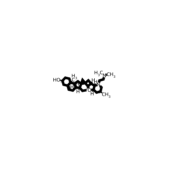 C[C@H]1C[C@H]2O[C@@]34CC[C@H]5[C@@H]6CC=C7C[C@@H](O)CC[C@]7(C)[C@H]6CC56CC63C[C@@H]4[C@@H]2N(CCN(C)C)C1